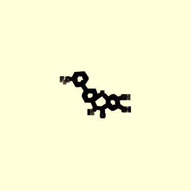 CCC1C(=O)c2cc(O)c(O)cc2Sc2cc(-c3cccc(C(F)(F)F)c3)ccc21